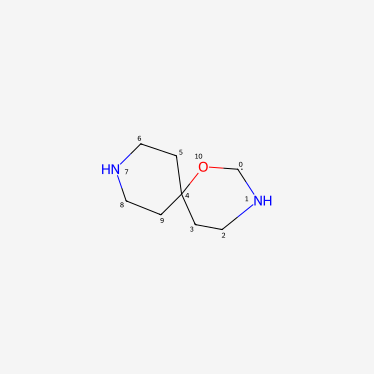 [CH]1NCCC2(CCNCC2)O1